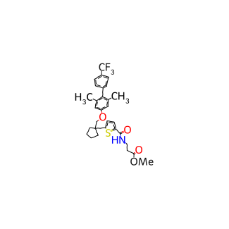 COC(=O)CCNC(=O)c1ccc(C2(COc3cc(C)c(-c4ccc(C(F)(F)F)cc4)c(C)c3)CCCC2)s1